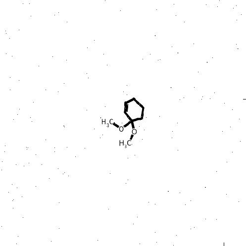 COC1(OC)C=CCCC1